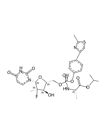 Cc1nc(-c2ccc(O[PH](O)(N[C@@H](C)C(=O)OC(C)C)OC[C@H]3O[C@@H](n4ccc(=O)[nH]c4=O)[C@](C)(F)[C@@H]3O)cc2)cs1